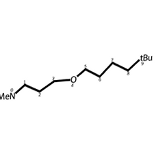 CNCCCOCCCCC(C)(C)C